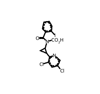 O=C(O)N(C(=O)c1ccccc1I)C1CC1c1ncc(Cl)cc1Cl